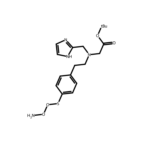 CC(C)(C)OC(=O)CN(CCc1ccc(SOON)cc1)Cc1ncc[nH]1